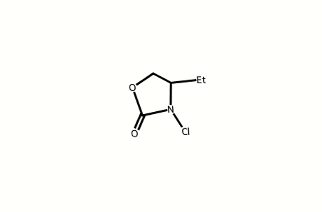 CCC1COC(=O)N1Cl